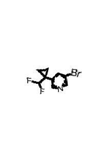 FC(F)C1(c2cncc(Br)c2)CC1